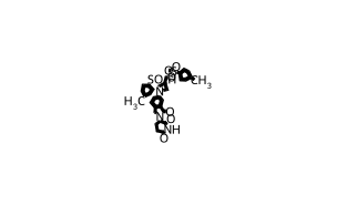 Cc1ccc(S(=O)(=O)O)cc1.Cc1ccc(S(=O)(=O)OCC2CN(c3ccc4c(c3)C(=O)N(C3CCC(=O)NC3=O)C4)C2)cc1